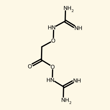 N=C(N)NOCC(=O)ONC(=N)N